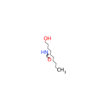 CCCCCCCCCCO.N=C=O